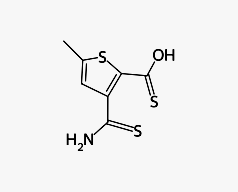 Cc1cc(C(N)=S)c(C(O)=S)s1